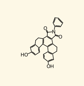 O=C1c2c3c(c4c(c2C(=O)N1c1ccccc1)CCc1cc(O)ccc1-4)-c1ccc(O)cc1CC3